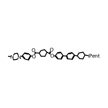 CCCC(C)C1CCC(c2ccc(-c3ccc(OC(=O)C4CCC(C(=O)Oc5ccc(N6CCN(C)CC6)cc5)CC4)cc3)cc2)CC1